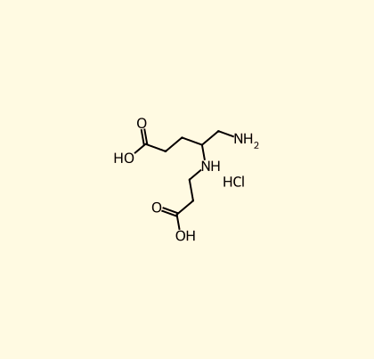 Cl.NCC(CCC(=O)O)NCCC(=O)O